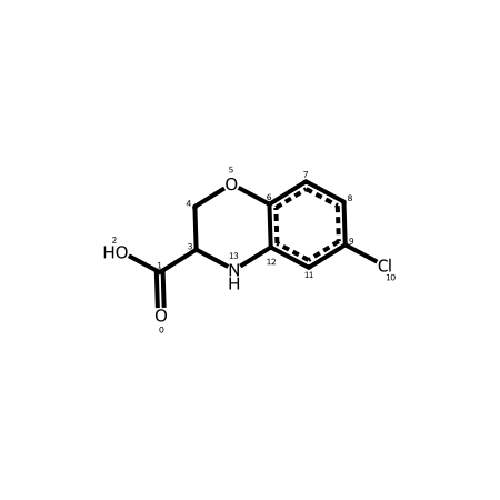 O=C(O)C1COc2ccc(Cl)cc2N1